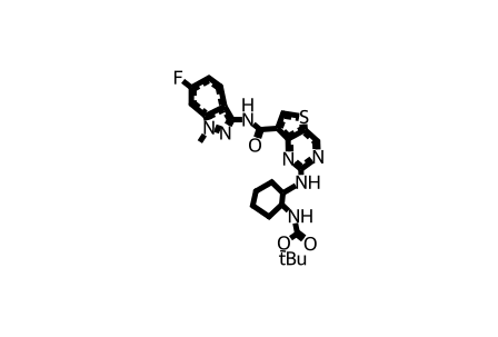 Cn1nc(NC(=O)c2csc3cnc(NC4CCCCC4NC(=O)OC(C)(C)C)nc23)c2ccc(F)cc21